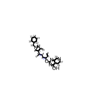 C=C/C(=C\C=C(/C)c1cn(Cc2ccccc2)nc1C)Oc1nc(O)c2ccncc2n1